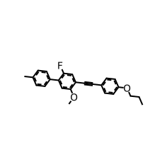 CCCOc1ccc(C#Cc2cc(F)c(-c3ccc(C)cc3)cc2OC)cc1